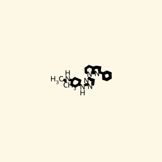 CC(C)NC1CCC(Nc2nccc(N3CCCc4ccc(-c5ccccc5)nc43)n2)CC1